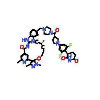 Cc1cc2cc(n1)-c1c(C)nn(C)c1OCCC[C@@H](C)CN1/C(=N/C2=O)Nc2ccc(CN3CCN(C(=O)[C@@H]4CCN(c5cc(F)c([C@H]6CCC(=O)NC6=O)c(F)c5)C4)CC3)cc21